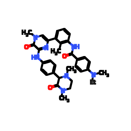 CCN(C)c1ccc(C(=O)Nc2cccc(-c3cn(C)c(=O)c(Nc4ccc(C5C(=O)N(C)CCN5C)cc4)n3)c2C)cc1